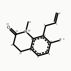 C=CCc1c(F)ccc2c1N(C)C(=O)CC2